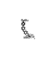 CSC(C)(C)C(=O)CN1CCC(CN2CCN(c3ccc(C(=O)C(C)(C)C)cn3)CC2)CC1